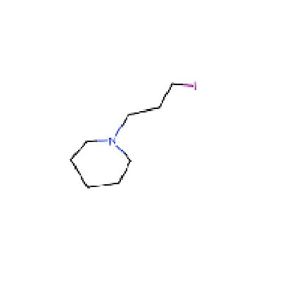 ICCCN1CCCCC1